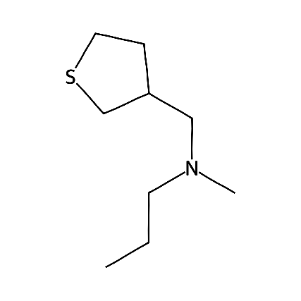 CCCN(C)CC1CCSC1